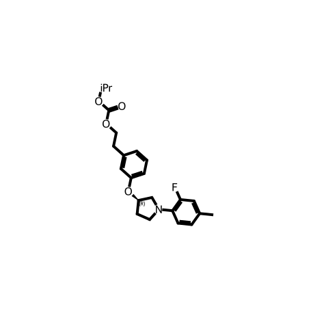 Cc1ccc(N2CC[C@@H](Oc3cccc(CCOC(=O)OC(C)C)c3)C2)c(F)c1